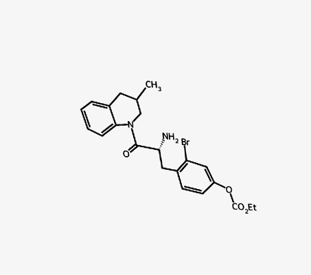 CCOC(=O)Oc1ccc(C[C@@H](N)C(=O)N2CC(C)Cc3ccccc32)c(Br)c1